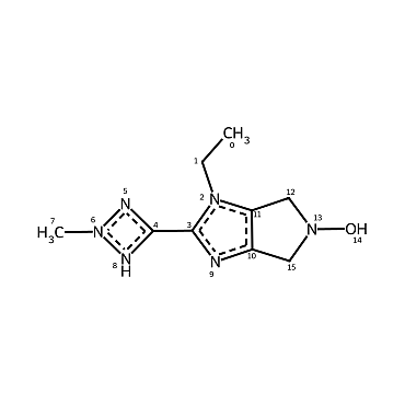 CCn1c(-c2nn(C)[nH]2)nc2c1CN(O)C2